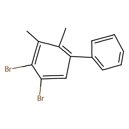 Cc1c(-c2ccccc2)cc(Br)c(Br)c1C